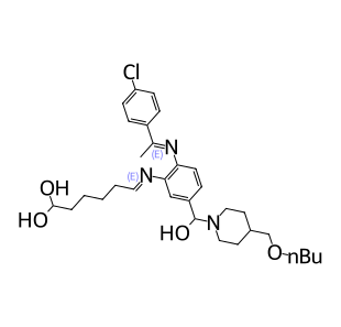 CCCCOCC1CCN(C(O)c2ccc(/N=C(\C)c3ccc(Cl)cc3)c(/N=C/CCCCC(O)O)c2)CC1